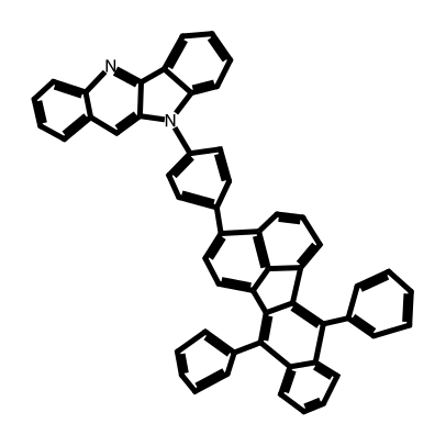 c1ccc(-c2c3c(c(-c4ccccc4)c4ccccc24)-c2ccc(-c4ccc(-n5c6ccccc6c6nc7ccccc7cc65)cc4)c4cccc-3c24)cc1